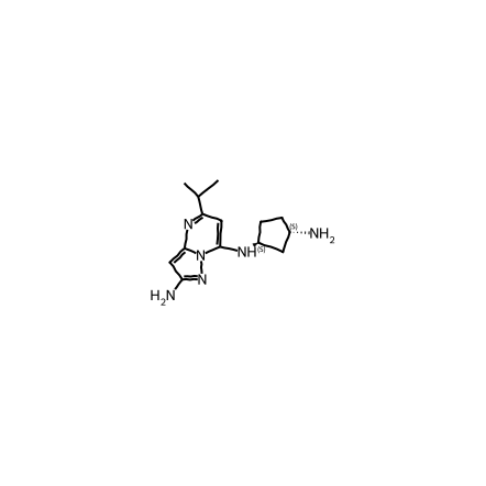 CC(C)c1cc(N[C@H]2CC[C@H](N)C2)n2nc(N)cc2n1